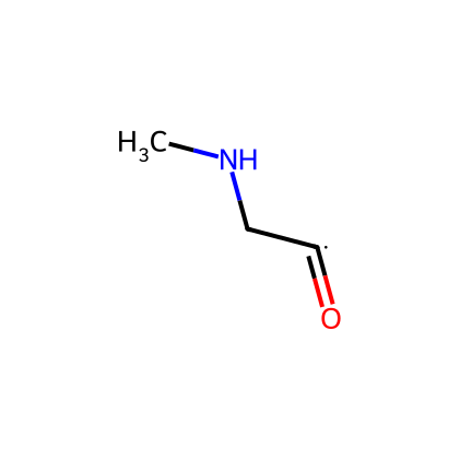 CNC[C]=O